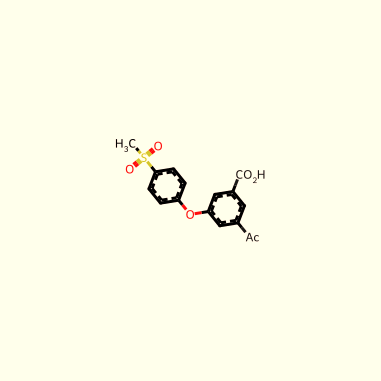 CC(=O)c1cc(Oc2ccc(S(C)(=O)=O)cc2)cc(C(=O)O)c1